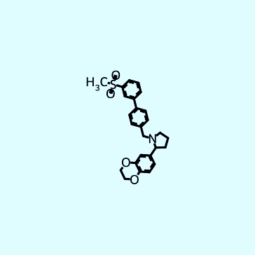 CS(=O)(=O)c1cccc(-c2ccc(CN3CCCC3c3ccc4c(c3)OCCO4)cc2)c1